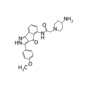 COc1ccc(-c2[nH]nc3c2C(=O)c2c(NC(=O)CN4CCC(N)CC4)cccc2-3)cc1